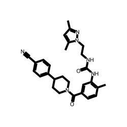 Cc1cc(C)n(CCNC(=O)Nc2cc(C(=O)N3CCC(c4ccc(C#N)cc4)CC3)ccc2C)n1